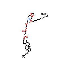 CCCCCCCC/C=C\CCCCCCCCOCC(CN1CCC2(CC1)OCCO2)OCCOC(=O)CCC(=O)O[C@H]1CC[C@@]2(C)C(=CC[C@H]3C4CCC([C@H](C)CCCC(C)C)[C@@]4(C)CCC32)C1